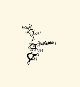 O=c1ccn([C@@H]2O[C@H](COP(=O)(O)OP(=O)(O)O)[C@@H](O)[C@H]2O)c(=O)[nH]1.[NaH].[NaH].[NaH].[NaH]